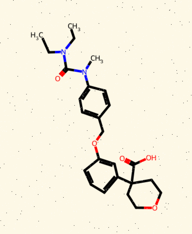 CCN(CC)C(=O)N(C)c1ccc(COc2cccc(C3(C(=O)O)CCOCC3)c2)cc1